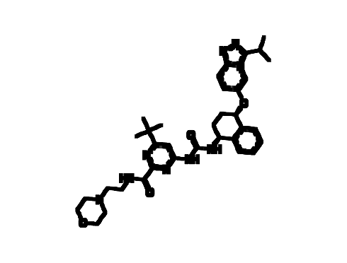 CC(C)c1nnc2ccc(O[C@@H]3CC[C@H](NC(=O)Nc4cc(C(C)(C)C)nc(C(=O)NCCN5CCOCC5)n4)c4ccccc43)cn12